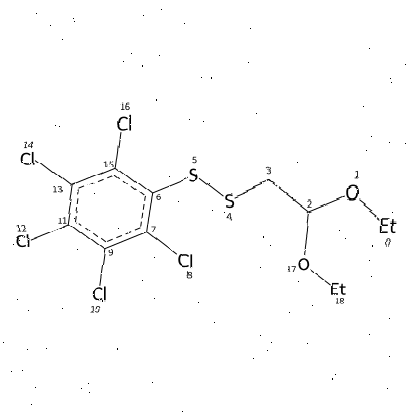 CCOC(CSSc1c(Cl)c(Cl)c(Cl)c(Cl)c1Cl)OCC